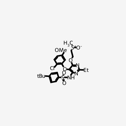 CCc1nc(NS(=O)(=O)c2ccc(C(C)(C)C)cc2)c(Oc2cc(OC)ccc2Cl)c(OCC[S+](C)[O-])n1